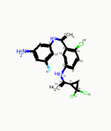 C=C(Nc1cc(N)cc(F)c1)c1cc(NC(=C)C2CC2(Cl)Cl)ccc1Cl